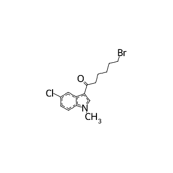 Cn1cc(C(=O)CCCCCBr)c2cc(Cl)ccc21